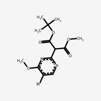 COC(=O)C(C(=O)OC(C)(C)C)c1ncc(Br)c(OC)n1